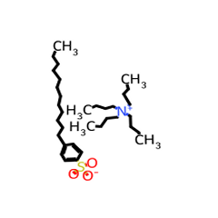 CCCCCCCCCCCCc1ccc(S(=O)(=O)[O-])cc1.CCCC[N+](CCCC)(CCCC)CCCC